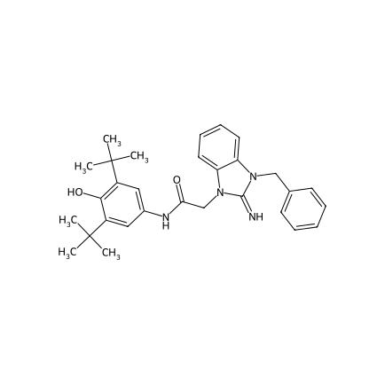 CC(C)(C)c1cc(NC(=O)Cn2c(=N)n(Cc3ccccc3)c3ccccc32)cc(C(C)(C)C)c1O